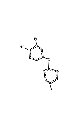 CCc1cc(Oc2ccc(C)cn2)ccc1C#N